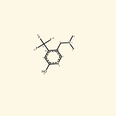 CN(C)Cc1cnc(O)cc1C(F)(F)F